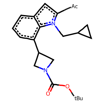 CC(=O)c1cc2cccc(C3CN(C(=O)OC(C)(C)C)C3)c2n1CC1CC1